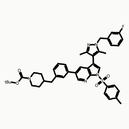 Cc1ccc(S(=O)(=O)n2cc(-c3c(C)nn(Cc4cccc(F)c4)c3C)c3cc(-c4cccc(CC5CCN(C(=O)OC(C)(C)C)CC5)c4)cnc32)cc1